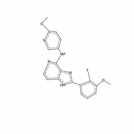 COc1ccc(Nc2nccc3[nH]c(-c4cccc(OC)c4F)nc23)cn1